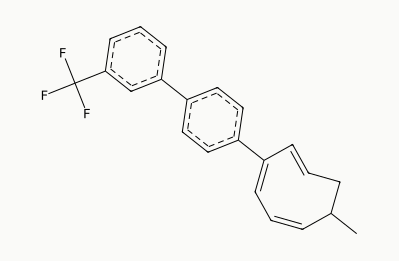 CC1\C=C/C=C(c2ccc(-c3cccc(C(F)(F)F)c3)cc2)\C=C\C1